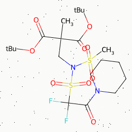 CC(C)(C)OC(=O)C(C)(CN(S(C)(=O)=O)S(=O)(=O)C(F)(F)C(=O)N1CCCCC1)C(=O)OC(C)(C)C